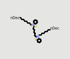 CCCCCCCCCCCCCCCCCCN1C(=CC=CC=Cc2sc3ccccc3[n+]2CCCCCCCCCCCCCCCCCC)Sc2ccccc21